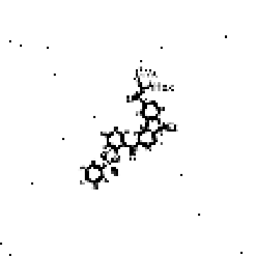 CCCCCC/C(=N\OC)C(=O)c1ccc2c(c1)c1cc(C(=O)c3ccccc3OS(=O)(=O)c3ccccc3)ccc1n2CC